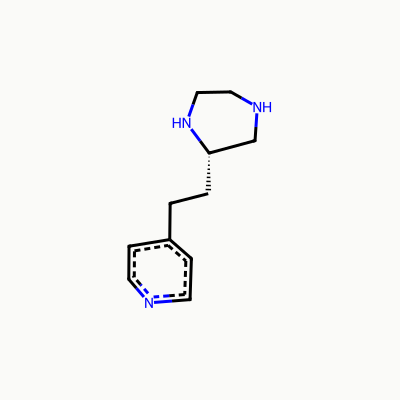 c1cc(CC[C@H]2CNCCN2)ccn1